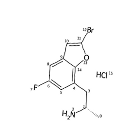 C[C@H](N)Cc1cc(F)cc2cc(Br)oc12.Cl